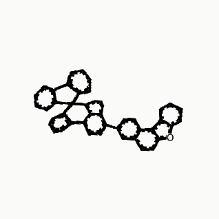 c1ccc2c(c1)-c1ccccc1C21c2ccccc2-c2ccc(-c3ccc4c(ccc5oc6ccccc6c54)c3)c3cccc1c23